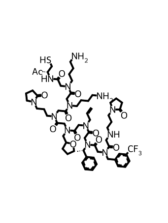 C=CCN(CC(=O)N(CC(=O)N(CCCN1CCCC1=O)CC(=O)N(CCCCN)CC(=O)N(CCCCN)CC(=O)N[C@@H](CS)C(C)=O)CC1CCCO1)C(=O)CN(C(=O)CN(Cc1cccc(C(F)(F)F)c1)C(=O)CNCCCN1CCCC1=O)[C@@H](C)c1ccccc1